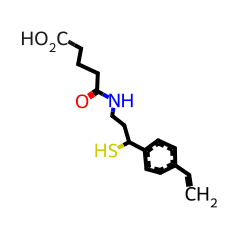 C=Cc1ccc(C(S)CCNC(=O)CCCC(=O)O)cc1